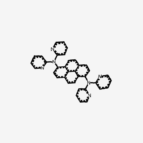 c1ccc(N(c2ccccn2)c2ccc3ccc4c(N(c5ccccn5)c5ccccn5)ccc5ccc2c3c54)nc1